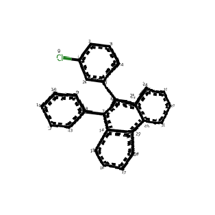 Clc1cccc(-c2c(-c3ccccc3)c3ccccc3c3ccccc23)c1